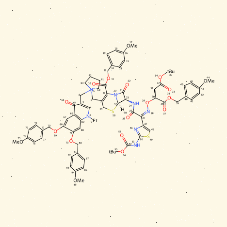 CCn1cc(C[N+]2(CC3=C(C(=O)OCc4ccc(OC)cc4)N4C(=O)[C@@H](NC(=O)/C(=N\O[C@@H](CC(=O)OC(C)(C)C)C(=O)OCc5ccc(OC)cc5)c5csc(NC(=O)OC(C)(C)C)n5)[C@H]4SC3)CCCC2)c(=O)c2cc(OCc3ccc(OC)cc3)c(OCc3ccc(OC)cc3)cc21